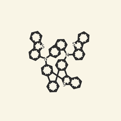 c1ccc(N(c2ccc3c(c2)-c2c(sc4ccccc24)C32c3ccccc3-c3ccc(N(c4ccccc4)c4cccc5c4sc4ccccc45)cc32)c2cccc3c2sc2ccccc23)cc1